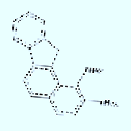 CCCCCCc1ccc2ccc3c(c2c1CCCCCC)Cc1ccccc1-3